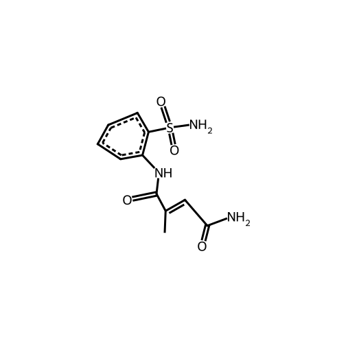 CC(=CC(N)=O)C(=O)Nc1ccccc1S(N)(=O)=O